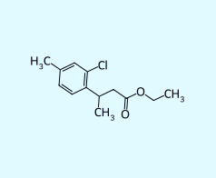 CCOC(=O)CC(C)c1ccc(C)cc1Cl